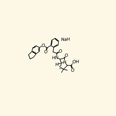 CC1(C)S[C@@H]2C(NC(=O)Cc3ccccc3C(=O)Oc3ccc4c(c3)CCC4)C(=O)N2C1C(=O)O.[NaH]